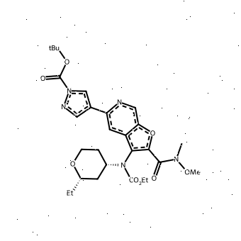 CCOC(=O)N(c1c(C(=O)N(C)OC)oc2cnc(-c3cnn(C(=O)OC(C)(C)C)c3)cc12)[C@H]1CCO[C@@H](CC)C1